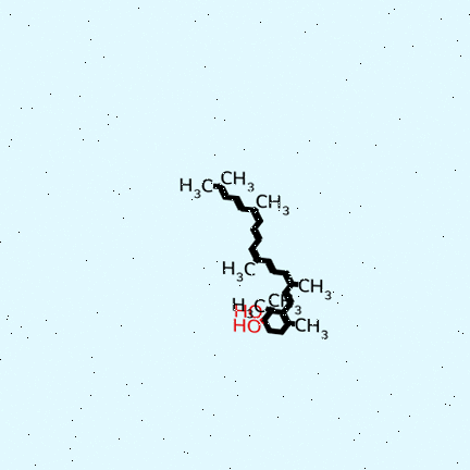 CC(C)=C/C=C/C(C)=C\C=C\C=C(C)/C=C/C=C(C)\C=C\C1=C(C)CCC(O)(O)C1(C)C